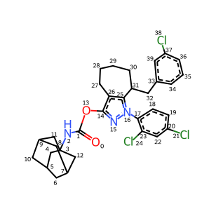 O=C(NC12CC3CC(CC(C3)C1)C2)Oc1nn(-c2ccc(Cl)cc2Cl)c2c1CCCCC2Cc1cccc(Cl)c1